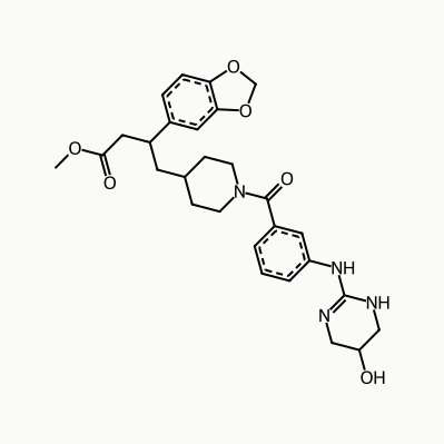 COC(=O)CC(CC1CCN(C(=O)c2cccc(NC3=NCC(O)CN3)c2)CC1)c1ccc2c(c1)OCO2